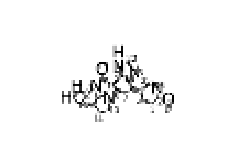 COc1ccc(-c2cc(N3CCC(CO)C3)c(C(N)=O)c3[nH]cnc23)cn1